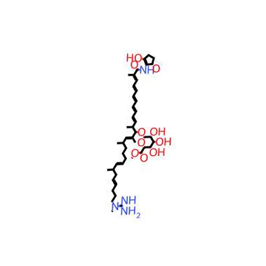 COC(=O)C1OC(OC(/C(C)=C/C(C)CCC/C=C/C(C)C/C=C/CCCN(C)C(=N)N)C(C)/C=C/C=C/C=C/C=C/C=C(\C)C(=O)NC2=C(O)CCC2=O)C(O)C(O)C1O